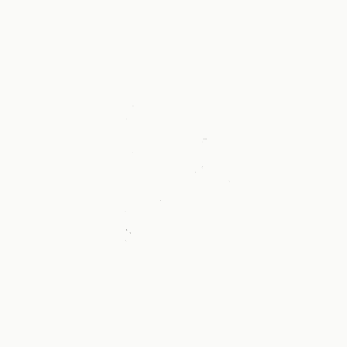 Cc1cc(OC=N)c(C(F)(F)F)o1